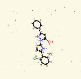 Oc1cc(-c2ccccc2)nn1-c1nc(-c2c(Cl)cccc2Cl)cs1